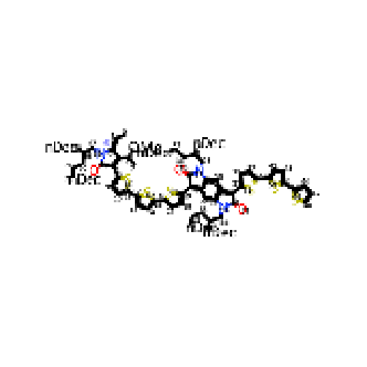 C/C=C1\C(C(C)OC)=C(c2ccc(-c3ccc(-c4ccc(C5=c6cc7c(cc6N(CC(CCCCCCCCCC)CCCCCCCCCCCC)C5=O)=C(c5ccc(-c6ccc(-c8cccs8)s6)s5)C(=O)N7CC(CCCCCCCCCC)CCCCCCCCCCCC)s4)s3)s2)C(=O)N1CC(CCCCCCCCCC)CCCCCCCCCCCC